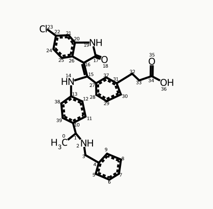 CC(NCc1ccccc1)c1ccc(NC(=C2C(=O)Nc3cc(Cl)ccc32)c2cccc(CCC(=O)O)c2)cc1